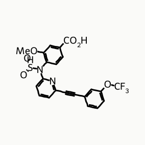 COc1cc(C(=O)O)ccc1N(c1cccc(C#Cc2cccc(OC(F)(F)F)c2)n1)[SH](=O)=O